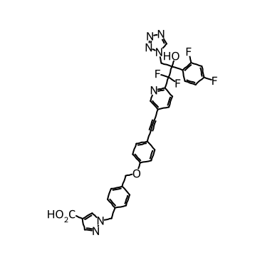 O=C(O)c1cnn(Cc2ccc(COc3ccc(C#Cc4ccc(C(F)(F)C(O)(Cn5cnnn5)c5ccc(F)cc5F)nc4)cc3)cc2)c1